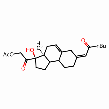 CCCCC(=O)/C=C1/CCC2C(=CC[C@@]3(C)C2CC[C@]3(O)C(=O)COC(C)=O)C1